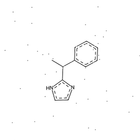 CC(c1[c]cccc1)c1ncc[nH]1